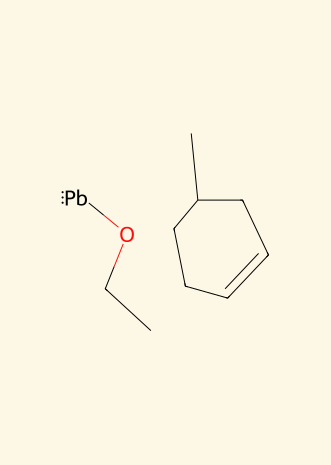 CC1CC=CCC1.CC[O][Pb]